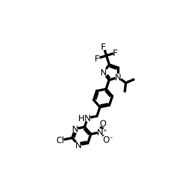 CC(C)n1cc(C(F)(F)F)nc1-c1ccc(CNc2nc(Cl)ncc2[N+](=O)[O-])cc1